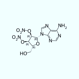 Nc1ncnc2c1ncn2[C@@H]1O[C@H](CO)[C@@H](O[N+](=O)[O-])[C@H]1O[N+](=O)[O-]